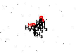 CCCCC(C)(C)[C@H](O)/C=C/[C@@H]1[C@H]2CC(=O)O[C@H]2C[C@H]1C